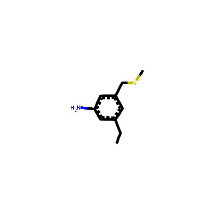 CCc1cc(N)cc(CSC)c1